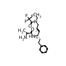 CCN(C/C=C/[C@H](CCc1ccccc1)NC(=O)[C@H](C)N)C(=O)C(F)(F)F